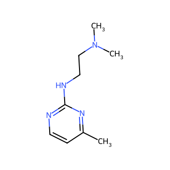 Cc1ccnc(NCCN(C)C)n1